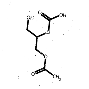 CC(=O)OCC(CO)OC(=O)O